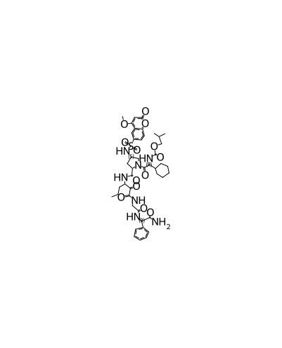 CCCC(NC(=O)C1C[C@H](NS(=O)(=O)c2ccc3oc(=O)cc(OC)c3c2)CN1C(=O)[C@H](NC(=O)OCC(C)C)C1CCCCC1)C(=O)C(=O)NCC(=O)N[C@@H](C(N)=O)c1ccccc1